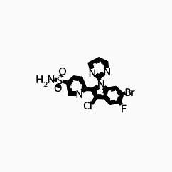 NS(=O)(=O)c1ccc(-c2c(Cl)c3cc(F)c(Br)cc3n2-c2ncccn2)nc1